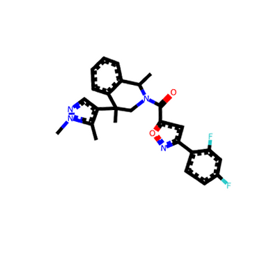 Cc1c(C2(C)CN(C(=O)c3cc(-c4ccc(F)cc4F)no3)C(C)c3ccccc32)cnn1C